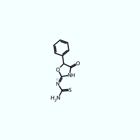 NC(=S)/N=C1\NC(=O)C(c2ccccc2)O1